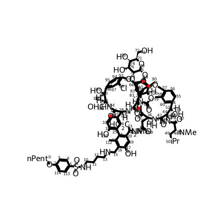 CCCCCOc1ccc(S(=O)(=O)NCCCCNCc2c(O)cc([C@H](NC)C(=O)O)c(-c3cc([C@H]4NC(=O)[C@@H]5NC(=O)[C@H](CC(N)=O)NC(=O)[C@H](NC(=O)[C@@H](CC(C)C)NC)[C@H](O)c6ccc(c(C)c6)Oc6cc5cc(c6O[C@@H]5O[C@H](CO)[C@@H](O)[C@H](O)[C@H]5O[C@H]5C[C@]6(C)NC(=O)O[C@@H]6[C@H](C)O5)Oc5ccc(cc5Cl)[C@@H](O)[C@@H](C=O)NC4=O)ccc3O)c2C)cc1